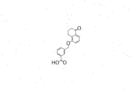 O=C(O)c1cccc(COc2cccc3c2CCCC3=O)c1